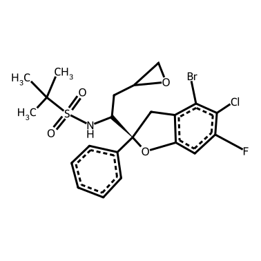 CC(C)(C)S(=O)(=O)NC(CC1CO1)[C@@]1(c2ccccc2)Cc2c(cc(F)c(Cl)c2Br)O1